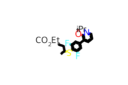 CCOC(=O)CCC(C)Sc1c(F)cc(-c2cccnc2OC(C)C)cc1F